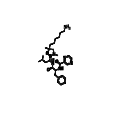 CC(C)CC(NC(=O)C(Cc1ccccc1)NC(=O)c1cnccn1)B1OC(C)(CCCCCCN)CN1C